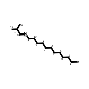 CCCCCCCCCCCCN=CC(C)C